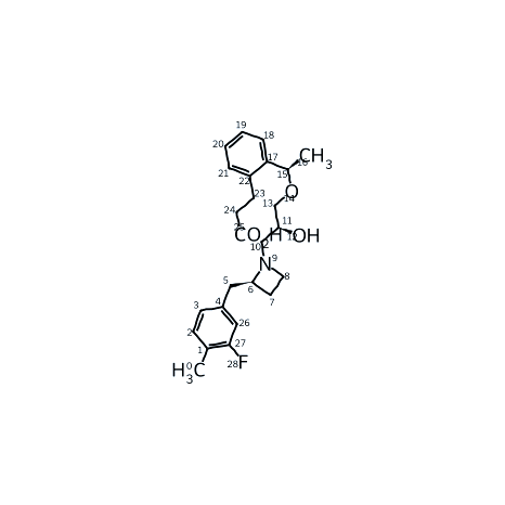 Cc1ccc(C[C@@H]2CCN2C[C@H](O)CO[C@H](C)c2ccccc2CCC(=O)O)cc1F